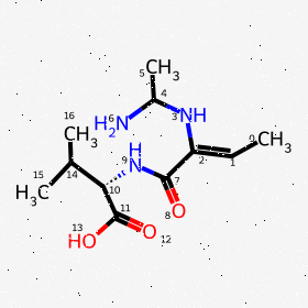 C/C=C(\NC(C)N)C(=O)N[C@H](C(=O)O)C(C)C